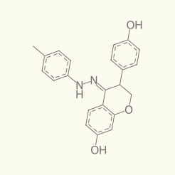 Cc1ccc(NN=C2c3ccc(O)cc3OCC2c2ccc(O)cc2)cc1